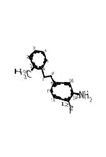 Cc1ccccc1CCc1ccc(F)c(N)c1